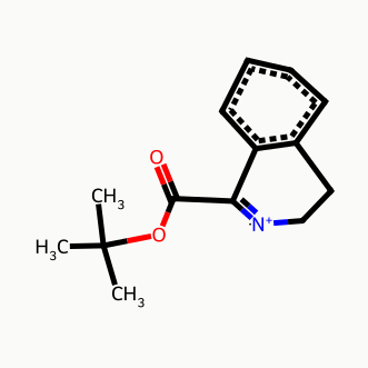 CC(C)(C)OC(=O)C1=[N+]CCc2ccccc21